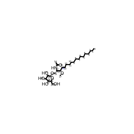 CCCCCCCCCCCCC/C=C/[C@H](OC)[C@H](CO[C@@H]1OC(CO)[C@@H](O)C(O)C1O)NC(C)=O